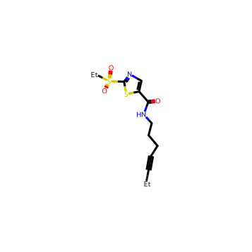 CCC#CCCCNC(=O)c1cnc(S(=O)(=O)CC)s1